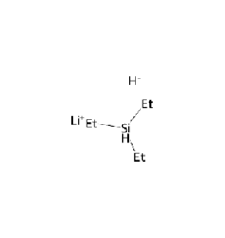 CC[SiH](CC)CC.[H-].[Li+]